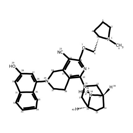 CN1CCC[C@H]1COc1nc(N2C[C@@H]3CC[C@@H](C2)N3C(=O)O)c2c(c1C#N)CN(c1cc(O)cc3ccccc13)CC2